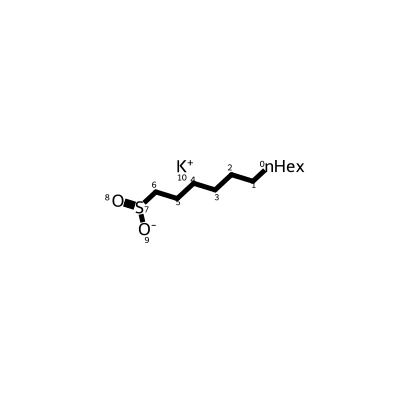 CCCCCCCCCCCCS(=O)[O-].[K+]